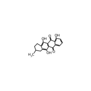 CC1CCc2c(O)c3c(c(O)c2C1)C(=O)c1cccc(O)c1C3=O